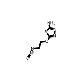 [N-]=[N+]=NCCOc1nnc(N)s1